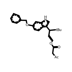 CC(=O)CC(=O)OC=CC(c1c[nH]c2cc(OCc3ccccc3)ccc12)C(C)(C)C